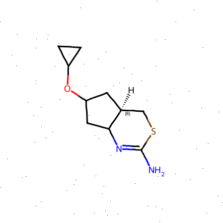 NC1=NC2CC(OC3CC3)C[C@H]2CS1